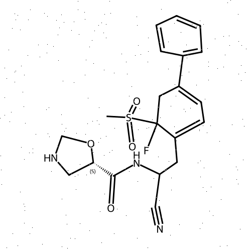 CS(=O)(=O)C1(F)CC(c2ccccc2)=CC=C1CC(C#N)NC(=O)[C@@H]1CNCO1